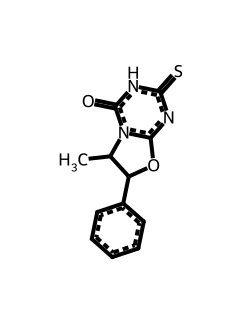 CC1C(c2ccccc2)Oc2nc(=S)[nH]c(=O)n21